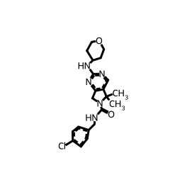 CC1(C)c2cnc(NC3CCOCC3)nc2CN1C(=O)NCc1ccc(Cl)cc1